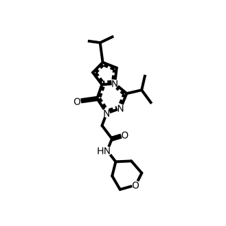 CC(C)c1cc2c(=O)n(CC(=O)NC3CCOCC3)nc(C(C)C)n2c1